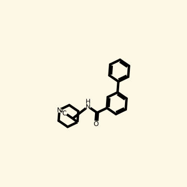 O=C(NC1CN2CCC1CC2)c1cccc(-c2ccccc2)c1